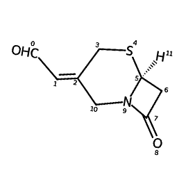 O=CC=C1CS[C@H]2CC(=O)N2C1